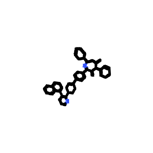 C=C1C=C(C2C=CC=CC2)N=C(c2ccc(C3=CCC(c4ncccc4-c4cccc5ccccc45)CC3)cc2)C(=C)C1C1=CCCC=C1